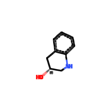 O[C@H]1CNc2ccccc2C1